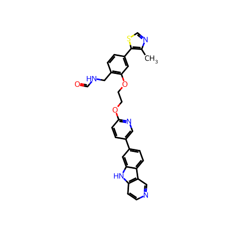 Cc1ncsc1-c1ccc(CNC=O)c(OCCOc2ccc(-c3ccc4c(c3)[nH]c3ccncc34)cn2)c1